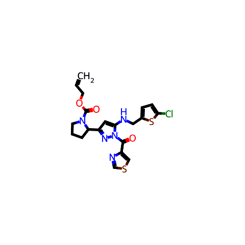 C=CCOC(=O)N1CCCC1c1cc(NCc2ccc(Cl)s2)n(C(=O)c2cscn2)n1